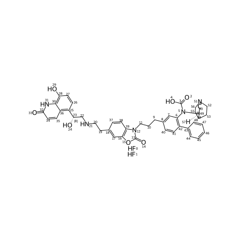 F.F.O=C(O)N(c1cc(CCCn2c(=O)oc3cc(CCNC[C@H](O)c4ccc(O)c5[nH]c(=O)ccc45)ccc32)ccc1-c1ccccc1)[C@H]1CN2CCC1CC2